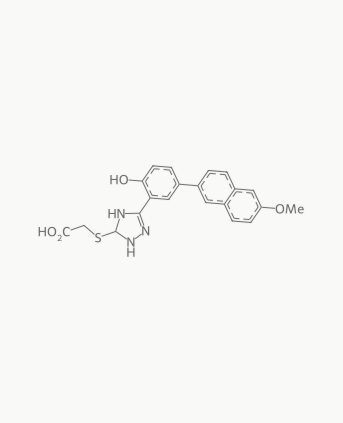 COc1ccc2cc(-c3ccc(O)c(C4=NNC(SCC(=O)O)N4)c3)ccc2c1